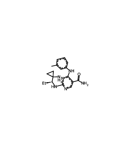 CC[C@H](Nc1ncc(C(N)=O)c(Nc2cccc(C)c2)n1)C1(N)CC1